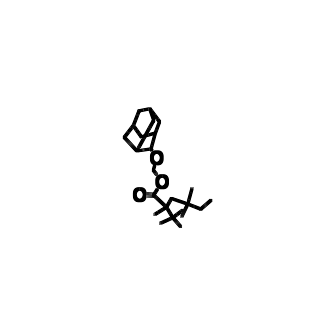 CCC(C)(C)CC(C)(C(=O)OCOC1C2CC3CC(C2)CC1C3)C(C)(C)C